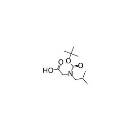 CC(C)CN(CC(=O)O)C(=O)OC(C)(C)C